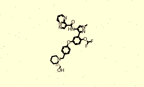 Cn1cc(NC(=O)c2cnn3cccnc23)c(-c2cc(Oc3ccc(CN4CCCC[C@H]4CO)cc3)ccc2OC(F)F)n1